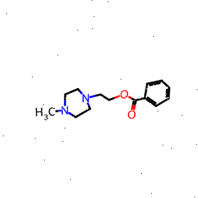 CN1CCN(CCOC(=O)c2ccccc2)CC1